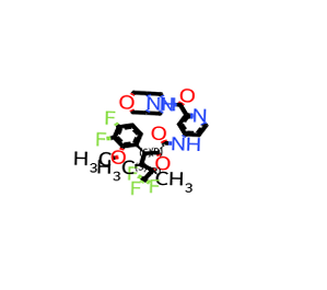 COc1c([C@H]2[C@H](C(=O)Nc3ccnc(C(=O)N4CC5COCC(C4)N5)c3)O[C@@](C)(C(F)(F)F)[C@H]2C)ccc(F)c1F